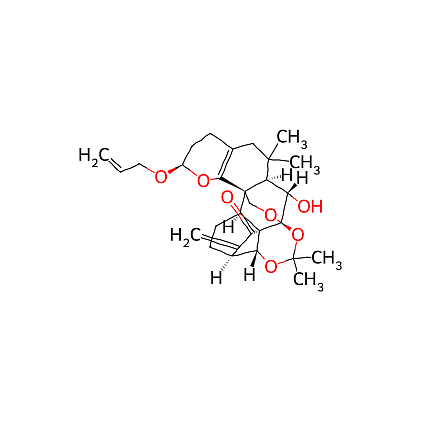 C=CCO[C@H]1CCC2=C(O1)[C@@]13CO[C@]4(OC(C)(C)O[C@@H]5[C@H]6CC[C@@H]1[C@]54C(=O)C6=C)[C@@H](O)[C@@H]3C(C)(C)C2